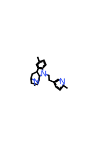 Cc1ccc2c(c1)C1CC3CCC(C1N2CCc1ccc(C)nc1)N3C